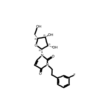 O=c1ccn([C@@H]2O[C@H](CO)[C@H](O)[C@@H]2O)c(=O)n1CCc1cccc(F)c1